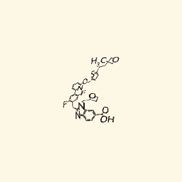 CC1(CCc2ccc(COc3cccc(-c4cc(F)c(Cc5nc6ccc(C(=O)O)cc6n5C[C@@H]5CCO5)cc4F)n3)s2)COC1